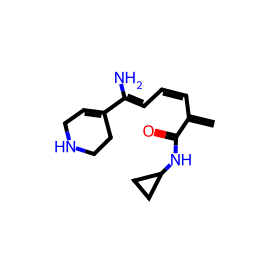 C=C(/C=C\C=C(/N)C1=CCNCC1)C(=O)NC1CC1